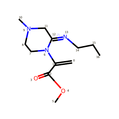 C=C(C(=O)OC)N1CCN(C)C/C1=N/CCC